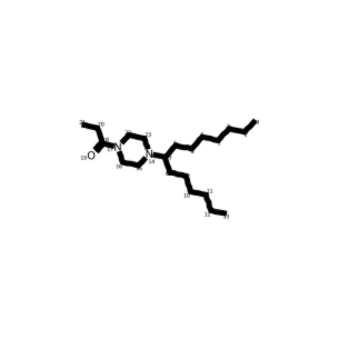 CCCCCCCC(CCCCCC)N1CCN(C(=O)CC)CC1